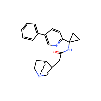 O=C(CC1CCN2CCC1CC2)NC1(c2ccc(-c3ccccc3)cn2)CC1